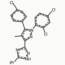 Cc1c(-c2n[nH]c(C(C)C)n2)nn(-c2ccc(Cl)cc2Cl)c1-c1ccc(Cl)cc1